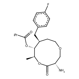 CC(C)C(=O)O[C@@H]1[C@@H](Cc2ccc(F)cc2)CCOC[C@H](N)C(=O)O[C@H]1C